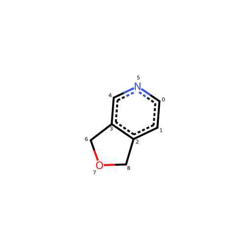 c1cc2c(cn1)COC2